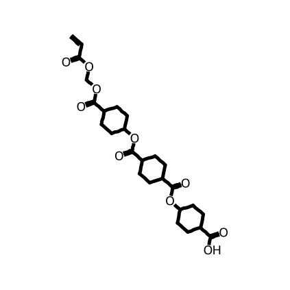 C=CC(=O)OCOC(=O)C1CCC(OC(=O)C2CCC(C(=O)OC3CCC(C(=O)O)CC3)CC2)CC1